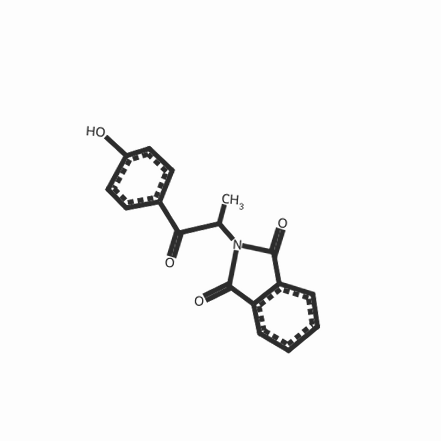 CC(C(=O)c1ccc(O)cc1)N1C(=O)c2ccccc2C1=O